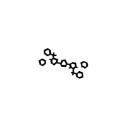 CC1(C)c2ccccc2N(c2ccccc2)c2ccc3c(sc4cc5c(cc43)sc3c4c(ccc35)N(c3ccccc3)c3ccccc3C4(C)C)c21